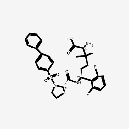 CC(C)(CC[C@H](NC(=O)[C@@H]1SCCN1S(=O)(=O)c1ccc(-c2ccccc2)cc1)c1c(F)cccc1F)[C@H](N)C(=O)O